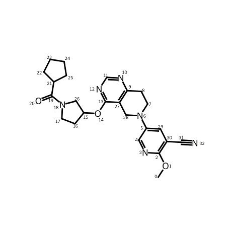 COc1ncc(N2CCc3ncnc(OC4CCN(C(=O)C5CCCC5)C4)c3C2)cc1C#N